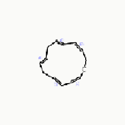 [C]1=C/C=C\CC/C=C\C=C\C/C=C/C/1